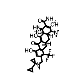 CN(C)[C@@H]1C(O)=C(C(N)=O)C(=N)[C@@]2(O)C(O)=C3C(=O)c4c(O)cc(CN(C)C5(C6CC6)CC5)c(C(F)(F)F)c4C[C@H]3C[C@@H]12